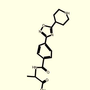 CC(NC(=O)c1ccc(-c2noc(C3CCNCC3)n2)cc1)C(=O)O